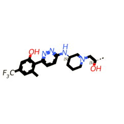 Cc1cc(C(F)(F)F)cc(O)c1-c1ccc(N[C@H]2CCCN(C[C@H](C)O)C2)nn1